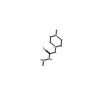 CNNC(=O)CN1CCN(C)CC1